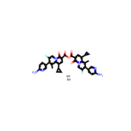 Cc1c(-c2ccc(N)nc2)c(F)cn2c(=O)c(C(=O)OC(=O)c3cc(C4CC4)c4c(C)c(-c5ccc(N)nc5)c(F)cn4c3=O)cc(C3CC3)c12.[KH].[KH]